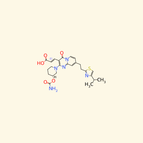 CC(C)c1csc(CCc2ccn3c(=O)c(/C=C/C(=O)O)c(N4CCC[C@@H](OC(N)=O)C4)nc3c2)n1